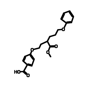 COC(=O)C(CCCOc1ccccc1)CCOc1ccc(C(=O)O)cc1